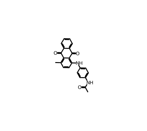 CC(=O)Nc1ccc(Nc2ccc(C)c3c2C(=O)c2ccccc2C3=O)cc1